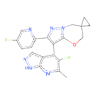 Cc1nc2[nH]ncc2c(-c2c(-c3ccc(F)cn3)nn3c2OCC2(CC2)C3)c1F